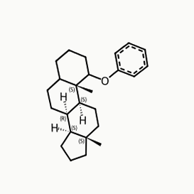 C[C@@]12CCC[C@H]1[C@H]1CCC3CCCC(Oc4ccccc4)[C@]3(C)[C@H]1CC2